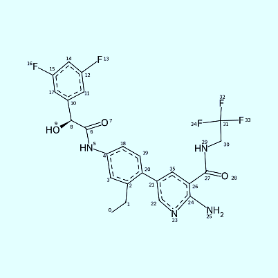 CCc1cc(NC(=O)[C@@H](O)c2cc(F)cc(F)c2)ccc1-c1cnc(N)c(C(=O)NCC(F)(F)F)c1